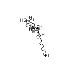 CC/C=C\C/C=C\C/C=C\C/C=C\C/C=C\C/C=C\CCC(=O)NCCSSC(C)(C)CNC(=O)[C@H](CCc1c(C)cc(O)cc1C)NC(C)=O